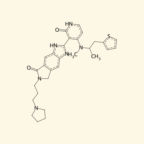 CC(Cc1cccs1)N(C)c1cc[nH]c(=O)c1-c1nc2cc3c(cc2[nH]1)C(=O)N(CCCN1CCCC1)C3